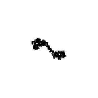 Cc1cc2c(cc1OCCCCCCOc1cccc(C=C3c4ccccc4C(=O)c4ccccc43)c1)N=C[C@@H]1CCCN1C2=O